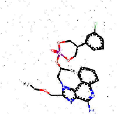 CCOCc1nc2c(N)nc3ccccc3c2n1CC(C)OP1(=O)OCC(c2cccc(Cl)c2)CO1